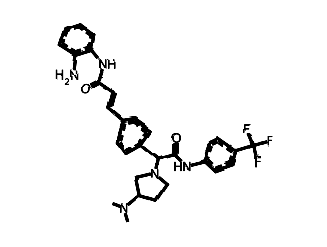 CN(C)C1CCN(C(C(=O)Nc2ccc(C(F)(F)F)cc2)c2ccc(C=CC(=O)Nc3ccccc3N)cc2)C1